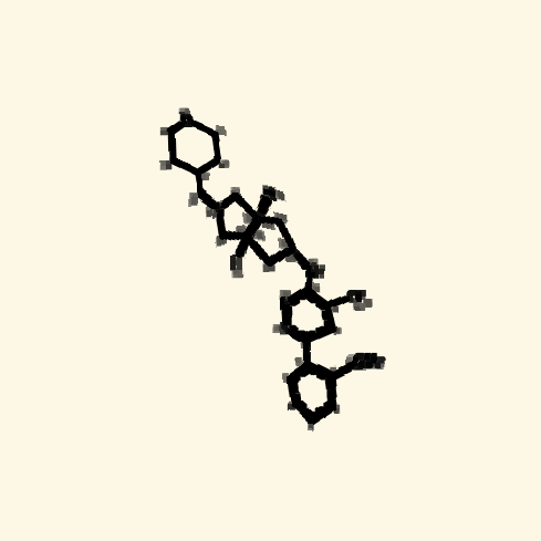 COc1ccccc1-c1cc(C(F)(F)F)c(N[C@H]2C[C@@H]3CN(CC4CCOCC4)C[C@@H]3C2)nn1